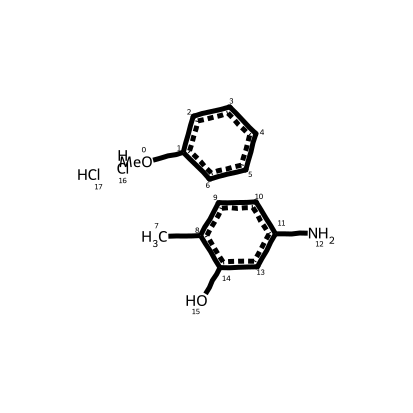 COc1ccccc1.Cc1ccc(N)cc1O.Cl.Cl